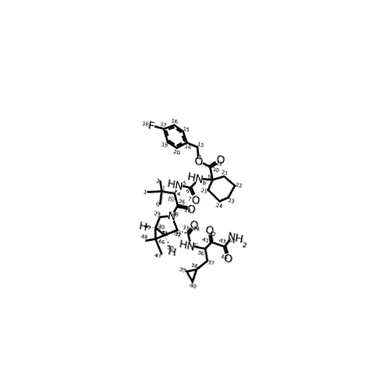 CC(C)(C)[C@H](NC(=O)NC1(C(=O)OCc2ccc(F)cc2)CCCCC1)C(=O)N1C[C@H]2[C@@H]([C@H]1C(=O)NC(CC1CC1)C(=O)C(N)=O)C2(C)C